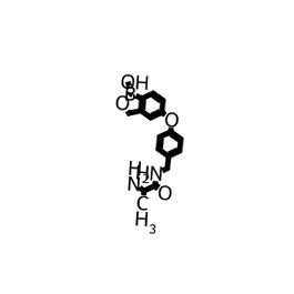 CC(N)C(=O)NCc1ccc(Oc2ccc3c(c2)COB3O)cc1